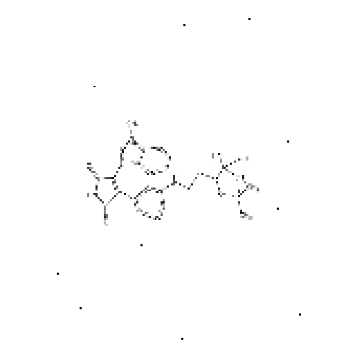 Cn1cc(C2=C(c3cccc(NCCC(O[SiH](C)C)C(C)(C)C)c3)C(=O)NC2=O)c2ccccc21